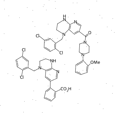 COc1ccccc1N1CCN(C(=O)c2cnc3c(c2)N(Cc2cc(Cl)ccc2Cl)CCN3)CC1.O=C(O)c1ccccc1-c1cnc2c(c1)N(Cc1cc(Cl)ccc1Cl)CCN2